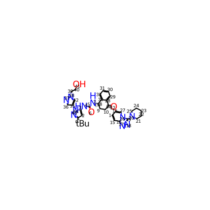 CC(C)(C)c1cc(NC(=O)N[C@H]2CC[C@@H](Oc3ccc4nnc(N5CCCCC5)n4c3)c3ccccc32)n(-c2cnn(CCO)c2)n1